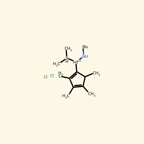 CCC(C)[NH][Hf+2]([C]1=C(C)C(C)=C(C)C1C)[SiH](C)C.[Cl-].[Cl-]